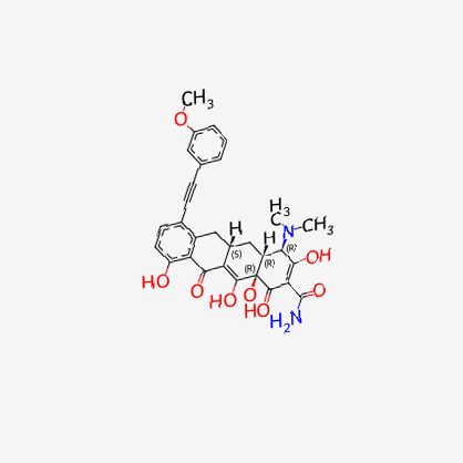 COc1cccc(C#Cc2ccc(O)c3c2C[C@@H]2C[C@@H]4[C@@H](N(C)C)C(O)=C(C(N)=O)C(=O)[C@]4(O)C(O)=C2C3=O)c1